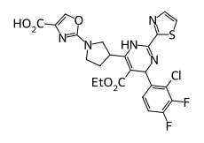 CCOC(=O)C1=C(C2CCN(c3nc(C(=O)O)co3)C2)NC(c2nccs2)=NC1c1ccc(F)c(F)c1Cl